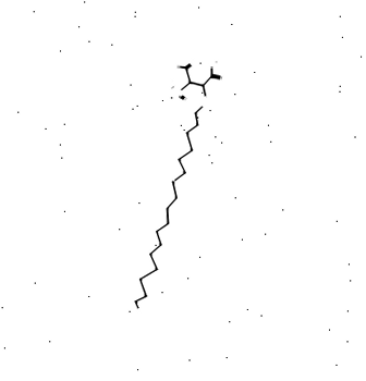 CCCCCCCCCCCCCCCCCCSC(C(=O)O)C(C(=O)O)S(=O)(=O)O